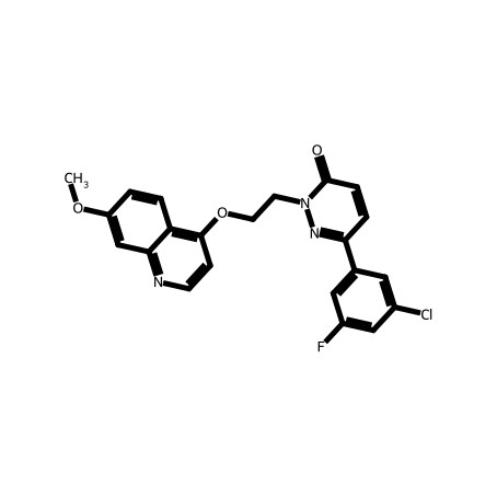 COc1ccc2c(OCCn3nc(-c4cc(F)cc(Cl)c4)ccc3=O)ccnc2c1